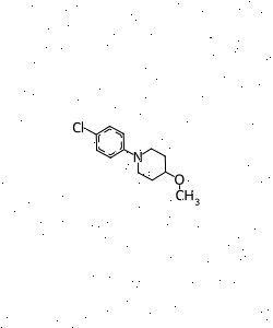 COC1CCN(c2ccc(Cl)cc2)CC1